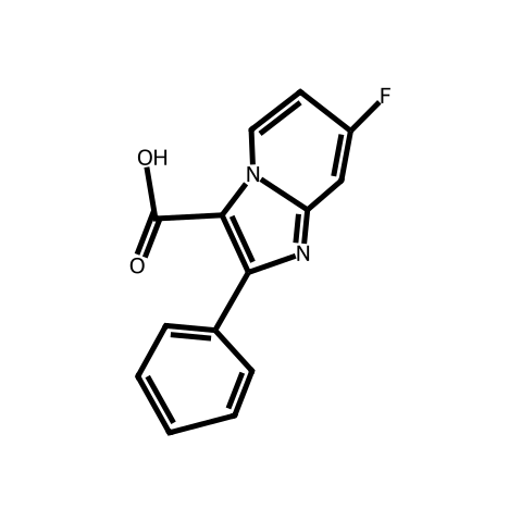 O=C(O)c1c(-c2ccccc2)nc2cc(F)ccn12